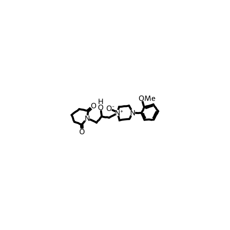 COc1ccccc1N1CC[N+]([O-])(CC(O)CN2C(=O)CCCC2=O)CC1